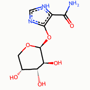 NC(=O)c1[nH]cnc1O[C@@H]1OC[C@@H](O)[C@@H](O)[C@@H]1O